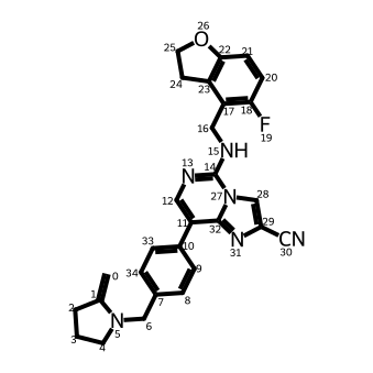 C=C1CCCN1Cc1ccc(-c2cnc(NCc3c(F)ccc4c3CCO4)n3cc(C#N)nc23)cc1